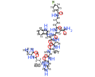 CC[C@H](C)[C@@H](CCC(=O)N[C@@H](CC1CC1)C(N)=O)NC(=O)[C@H](Cc1c[nH]cn1)NC(=O)CN(C)C(=O)C(NC(=O)[C@H](C)NC(=O)C(Cc1c[nH]c2ccccc12)NC(=O)[C@H](CCC(N)=O)NC(=O)CCCCNC(=O)c1ccc(F)cc1)C(C)C